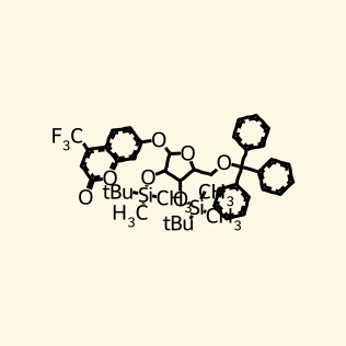 CC(C)(C)[Si](C)(C)OC1C(COC(c2ccccc2)(c2ccccc2)c2ccccc2)OC(Oc2ccc3c(C(F)(F)F)cc(=O)oc3c2)C1O[Si](C)(C)C(C)(C)C